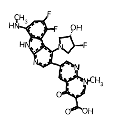 CNc1cc(F)c(F)c2c1[nH]c1ncc(-c3cnc4c(c3)c(=O)c(C(=O)O)cn4C)c(N3C[C@H](O)[C@@H](F)C3)c12